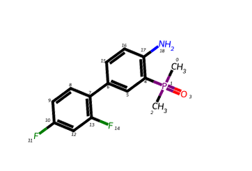 CP(C)(=O)c1cc(-c2ccc(F)cc2F)ccc1N